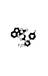 O=C1OC2(CCc3ccccc32)C(=O)N1CC(=O)N1[C@H](c2ccc(F)cc2)CC[C@@H]1C(F)(F)F